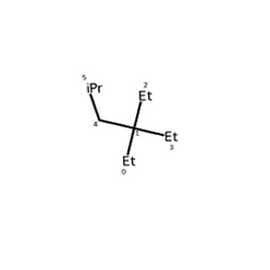 CCC(CC)(CC)CC(C)C